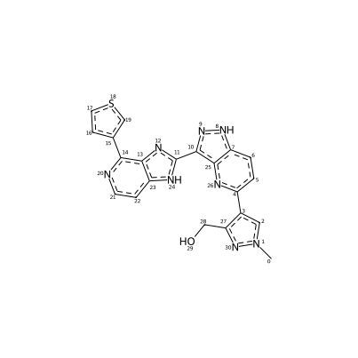 Cn1cc(-c2ccc3[nH]nc(-c4nc5c(-c6ccsc6)nccc5[nH]4)c3n2)c(CO)n1